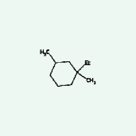 CCC1(C)CCCC(C)C1